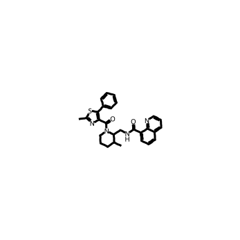 Cc1nc(C(=O)N2CCCC(C)C2CNC(=O)c2cccc3cccnc23)c(-c2ccccc2)s1